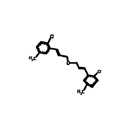 Cc1ccc(Cl)c(C=CCOCC=Cc2cc(C)ccc2Cl)c1